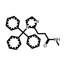 CNC(=O)CCc1nccn1C(c1ccccc1)(c1ccccc1)c1ccccc1